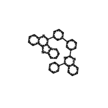 c1ccc(-c2nc(-c3cccc(-c4cccc(-c5nc6ccccc6c6nc7ccccn7c56)c4)c3)nc3ccccc23)cc1